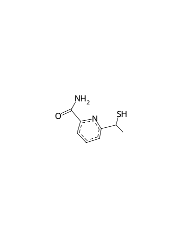 CC(S)c1cccc(C(N)=O)n1